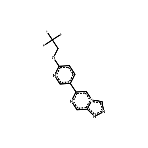 FC(F)(F)COc1ccc(-c2cn3cnnc3cn2)cn1